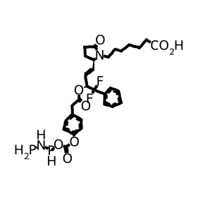 O=C(O)CCCCCCN1C(=O)CC[C@@H]1/C=C/[C@@H](OC(=O)Cc1ccc(OC(=O)OPNP)cc1)C(F)(F)c1ccccc1